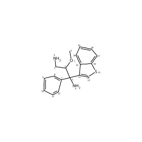 COC(CN)C(N)(c1ccccc1)c1nsc2ccccc12